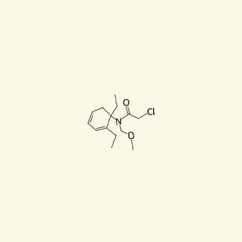 CCC1=CC=CCC1(CC)N(COC)C(=O)CCl